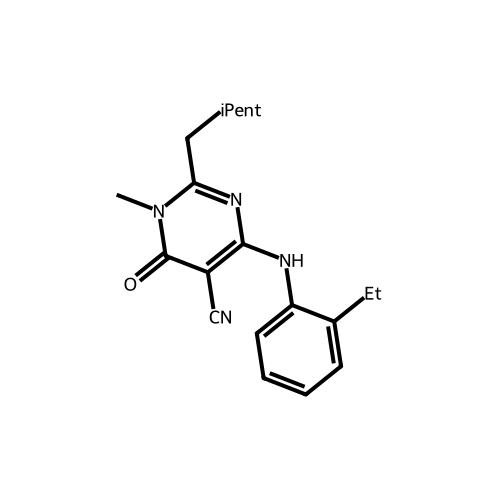 CCCC(C)Cc1nc(Nc2ccccc2CC)c(C#N)c(=O)n1C